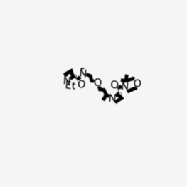 CCN1CC[C@H]1C(=O)N(C)CCOCCC(C)N1CC[C@H]1C(=O)N1CCOCC1(C)C